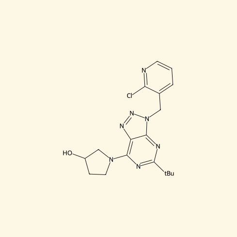 CC(C)(C)c1nc(N2CCC(O)C2)c2nnn(Cc3cccnc3Cl)c2n1